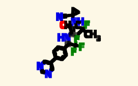 CC(C)(F)C[C@H](N[C@@H](c1ccc(-c2cncnc2)cc1)C(F)(F)F)C(=O)NC1(C#N)CC1